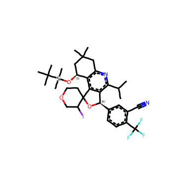 CC(C)c1nc2c(c3c1[C@@H](c1ccc(C(F)(F)F)c(C#N)c1)OC31CCOCC1I)[C@@H](O[Si](C)(C)C(C)(C)C)CC(C)(C)C2